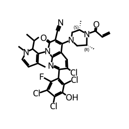 C=CC(=O)N1[C@H](C)CN(c2c(C#N)c(=O)n(C3=C(C)C=CN(C)C3C(C)C)c3nc(-c4c(F)c(Cl)c(Cl)c(O)c4Cl)c(Cl)cc23)C[C@@H]1C